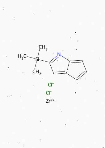 C[Si](C)(C)C1=NC2=CC=CC2=C1.[Cl-].[Cl-].[Zr+2]